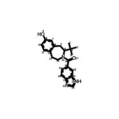 CC(C)(C)C1Cc2cc(O)ccc2CCN1C(=O)c1ccc2nc[nH]c2c1